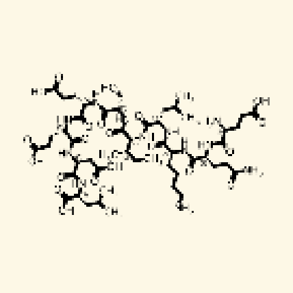 CC[C@H](C)[C@H](NC(=O)[C@H](CC(C)C)NC(=O)[C@H](CCCCN)NC(=O)[C@H](CCC(N)=O)NC(=O)[C@@H](N)CCC(=O)O)C(=O)N[C@@H](CO)C(=O)N[C@@H](CCC(=O)O)C(=O)N[C@@H](CCC(=O)O)C(=O)N[C@@H](CC(=O)O)C(=O)N[C@@H](CC(C)C)C(=O)O